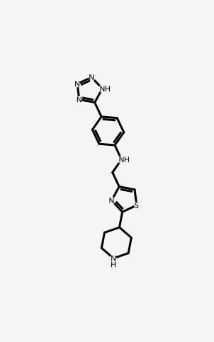 c1cc(-c2nnn[nH]2)ccc1NCc1csc(C2CCNCC2)n1